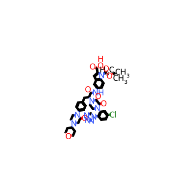 CC(C)(C)OC(=O)n1c(C(=O)O)cc2cc(NC(=O)C(Cc3ccc(N4CCN(C5CCOCC5)CC4=O)cc3)N3CCN(c4cc(Cl)ccc4-n4cnnn4)C(=O)C3=O)ccc21